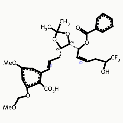 COCOc1cc(OC)cc(/C=C/C[C@@H]2OC(C)(C)O[C@@H]2C(/C=C\CC(O)C(F)(F)F)OC(=O)c2ccccc2)c1C(=O)O